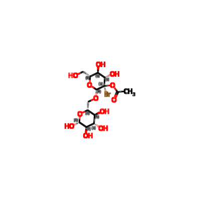 CC(=O)O[C@@]1(Br)[C@H](OC[C@H]2O[C@@H](O)[C@H](O)[C@@H](O)[C@@H]2O)O[C@H](CO)[C@@H](O)[C@@H]1O